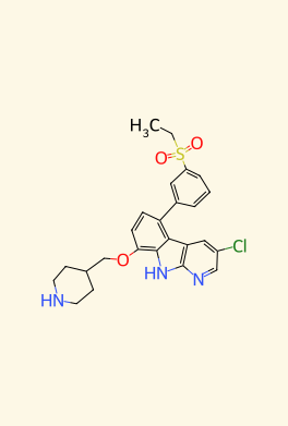 CCS(=O)(=O)c1cccc(-c2ccc(OCC3CCNCC3)c3[nH]c4ncc(Cl)cc4c23)c1